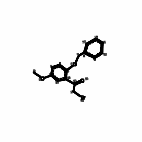 COc1ccc(OCc2ccccc2)c(C(=O)CBr)c1